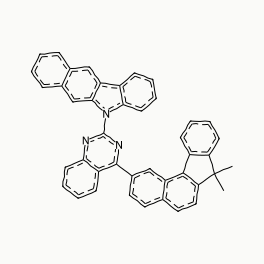 CC1(C)c2ccccc2-c2c1ccc1ccc(-c3nc(-n4c5ccccc5c5cc6ccccc6cc54)nc4ccccc34)cc21